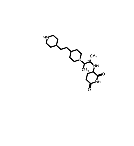 CC([C@H](C)NC1CCC(=O)NC1=O)N1CCC(CCC2CCNCC2)CC1